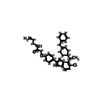 CN(c1c(Cl)cnc2[nH]c(-c3ccc(OCC(=O)NCCN)cc3)nc12)C1CCN(Cc2ccccc2)CC1